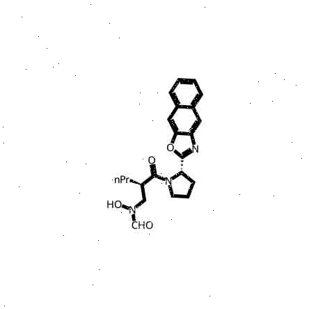 CCC[C@H](CN(O)C=O)C(=O)N1CCC[C@H]1c1nc2cc3ccccc3cc2o1